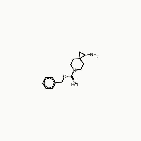 Cl.NC1CC12CCN(C(=O)OCc1ccccc1)CC2